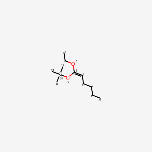 CCCCC=C(OCC)O[Si](C)(C)C